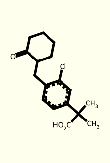 CC(C)(C(=O)O)c1ccc(CC2CCCCC2=O)c(Cl)c1